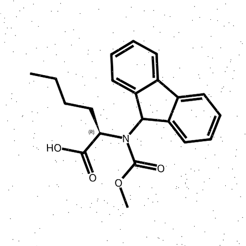 CCCC[C@H](C(=O)O)N(C(=O)OC)C1c2ccccc2-c2ccccc21